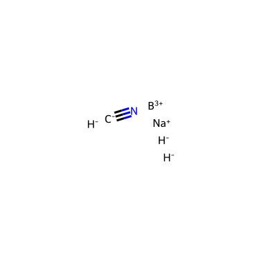 [B+3].[C-]#N.[H-].[H-].[H-].[Na+]